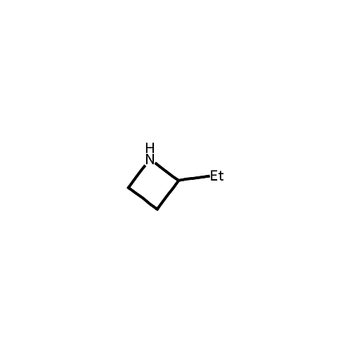 [CH2]CC1CCN1